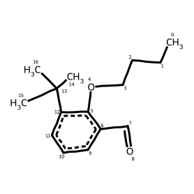 CCCCOc1c(C=O)cccc1C(C)(C)C